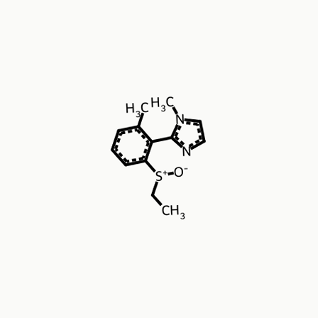 CC[S+]([O-])c1cccc(C)c1-c1nccn1C